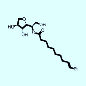 CCC=CCCCCCCCC(=O)O[C@H](CO)[C@H]1OC[C@H](O)[C@H]1O